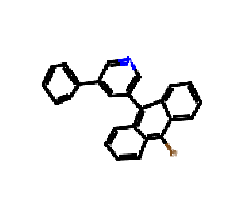 Brc1c2ccccc2c(-c2cncc(-c3ccccc3)c2)c2ccccc12